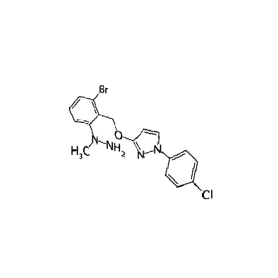 CN(N)c1cccc(Br)c1COc1ccn(-c2ccc(Cl)cc2)n1